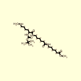 CNCCCCC(NC(=O)OC(C)(C)C)C(=O)NCCCCCC(=O)NCCCCCC(=O)OC